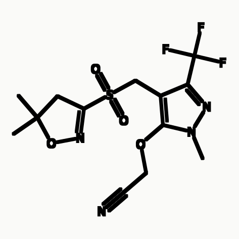 Cn1nc(C(F)(F)F)c(CS(=O)(=O)C2=NOC(C)(C)C2)c1OCC#N